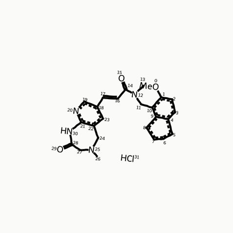 COc1ccc2ccccc2c1CN(C)C(=O)C=Cc1cnc2c(c1)CN(C)CC(=O)N2.Cl